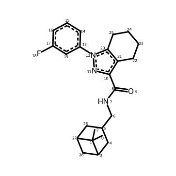 CC1(C)C2CC(CNC(=O)c3nn(-c4cccc(F)c4)c4c3CCCC4)CC1C2